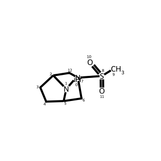 CC(C)N1C2CCC1CN(S(C)(=O)=O)C2